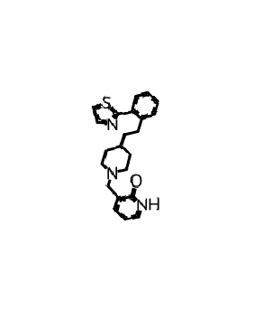 O=c1[nH]cccc1CN1CCC(CCc2ccccc2-c2nccs2)CC1